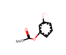 Bc1cccc(OC(=O)OC)c1